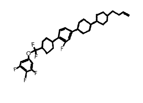 C=CCCC1CCC(C2CCC(c3ccc(C4CCC(C(F)(F)Oc5cc(F)c(F)c(F)c5)CC4)c(F)c3)CC2)CC1